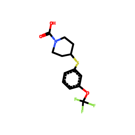 O=C(O)N1CCC(Sc2cccc(OC(F)(F)F)c2)CC1